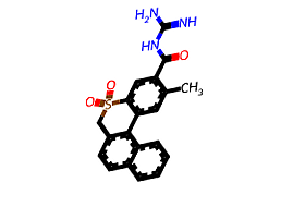 Cc1cc2c(cc1C(=O)NC(=N)N)S(=O)(=O)Cc1ccc3ccccc3c1-2